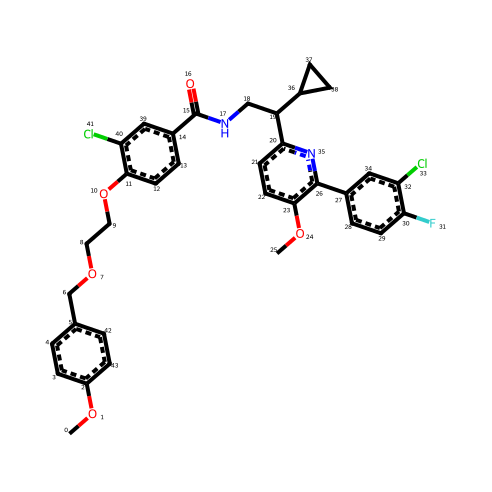 COc1ccc(COCCOc2ccc(C(=O)NCC(c3ccc(OC)c(-c4ccc(F)c(Cl)c4)n3)C3CC3)cc2Cl)cc1